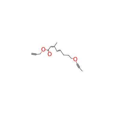 C#CCOC(=O)C=C(C)C=CCCCOC#CC